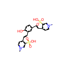 C[n+]1ccc(/C=C/c2ccc(O)c(/C=C/c3cc[n+](C)cc3S(=O)(=O)O)c2)c(S(=O)(=O)O)c1